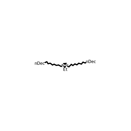 CCCCCCCCCCCCCCCCCCCN1C=CN(CCCCCCCCCCCCCCCCCC)C1CC